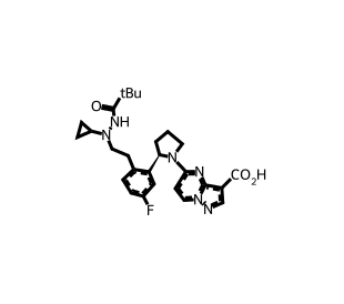 CC(C)(C)C(=O)NN(CCc1ccc(F)cc1[C@H]1CCCN1c1ccn2ncc(C(=O)O)c2n1)C1CC1